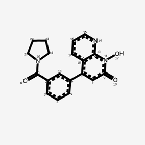 O=C(c1cccc(-c2cc(=O)n(O)c3ncccc23)c1)N1CCCC1